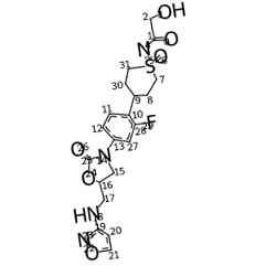 O=C(CO)N=S1(=O)CCC(c2ccc(N3CC(CNc4ccon4)OC3=O)cc2F)CC1